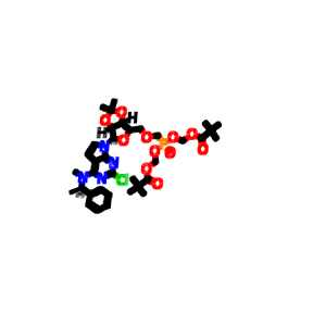 C[C@H](c1ccccc1)N(C)c1nc(Cl)nc2c1ccn2[C@@H]1OC(COCP(=O)(OCOC(=O)C(C)(C)C)OCOC(=O)C(C)(C)C)[C@H]2OC(C)(C)O[C@H]21